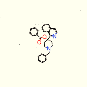 O=C(OC1(c2nccc3ccccc23)CCN(Cc2ccccc2)CC1)c1ccccc1